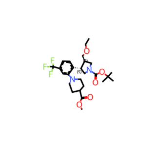 CCOC[C@H]1CN(C(=O)OC(C)(C)C)C[C@@H]1c1ccc(C(F)(F)F)cc1N1CCC(C(=O)OC)CC1